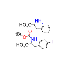 CC(C)(C)OC(=O)NC(Cc1ccc(I)cc1)C(=O)O.NC(Cc1ccccc1)C(=O)O